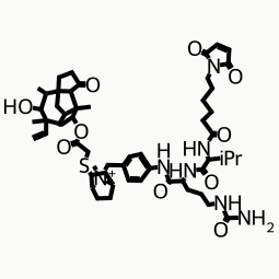 C=CC1(C)CC(OC(=O)CSC2CC3CCC2[N+]3(C)Cc2ccc(NC(=O)C(CCCNC(N)=O)NC(=O)C(NC(=O)CCCCCN3C(=O)C=CC3=O)C(C)C)cc2)C2(C)C(C)CC3(CCC(=O)C32)C(C)C1O